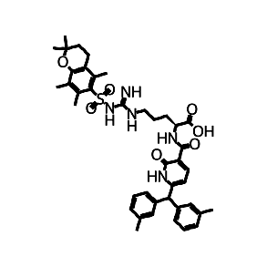 Cc1cccc(C(c2cccc(C)c2)c2ccc(C(=O)N[C@@H](CCCNC(=N)NS(=O)(=O)c3c(C)c(C)c4c(c3C)CCC(C)(C)O4)C(=O)O)c(=O)[nH]2)c1